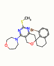 CSc1nc2c(c(N3CCCOCC3)n1)COC1(CCCc3cccc(Br)c31)C2